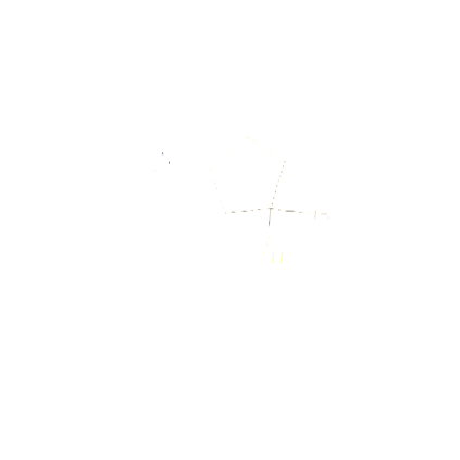 CC(C)(C)C1(S)CC[C@@H](N)C1